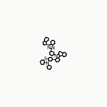 c1ccc(N2c3ccccc3Sc3ccc(-c4cccc5c6c7ccccc7ccc6n(-c6cccc(-c7nc(-c8cccc9ccccc89)c8ccccc8n7)c6)c45)cc32)cc1